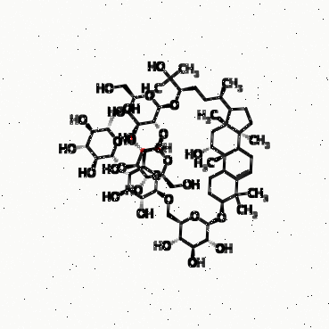 C[C@H](CC[C@@H](O[C@@H]1O[C@H](CO)[C@@H](O)[C@H](O)[C@H]1O[C@H]1O[C@@H](CO)[C@H](O)[C@@H](O[C@H]2O[C@@H](CO)[C@H](O)[C@@H](O)[C@@H]2O)[C@@H]1O)C(C)(C)O)C1CC[C@@]2(C)C3CC=C4C(CC[C@H](O[C@@H]5O[C@H](CO[C@@H]6O[C@H](CO)[C@@H](O)[C@H](O)[C@H]6O)[C@@H](O)[C@H](O)[C@H]5O)C4(C)C)[C@]3(C)[C@H](O)C[C@]12C